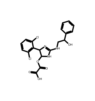 O=C(O)C(=O)OC1NC(NCC(O)c2ccccc2)=NC1c1c(Cl)cccc1Cl